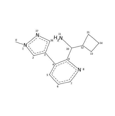 Cn1cc(-c2cccnc2C(N)C2CCC2)cn1